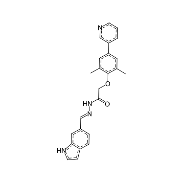 Cc1cc(-c2cccnc2)cc(C)c1OCC(=O)NN=Cc1ccc2cc[nH]c2c1